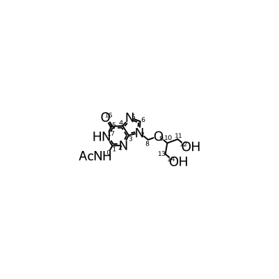 CC(=O)Nc1nc2c(ncn2COC(CO)CO)c(=O)[nH]1